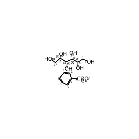 O=C([O-])c1ccccc1.OC[C@@H](O)[C@@H](O)[C@H](O)[C@@H](O)CO.[Na+]